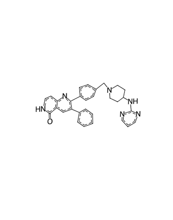 O=c1[nH]ccc2nc(-c3ccc(CN4CCC(Nc5ncccn5)CC4)cc3)c(-c3ccccc3)cc12